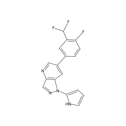 Fc1ccc(-c2cnc3cnn(-c4ccc[nH]4)c3c2)cc1C(F)F